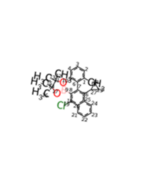 Cc1ccccc1-c1c(B2OC(C)(C)C(C)(C)O2)c(Cl)c2ccccc2c1C1CC1